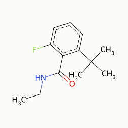 CCNC(=O)c1c(F)cccc1C(C)(C)C